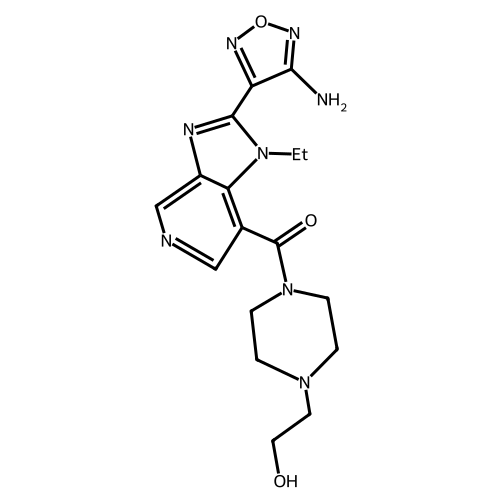 CCn1c(-c2nonc2N)nc2cncc(C(=O)N3CCN(CCO)CC3)c21